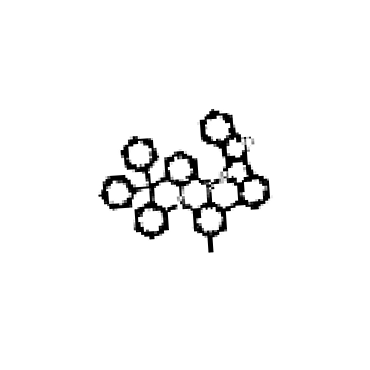 Cc1cc2c3c(c1)N1c4ccccc4C(c4ccccc4)(c4ccccc4)c4cccc(c41)B3n1c3c-2cccc3c2oc3ccccc3c21